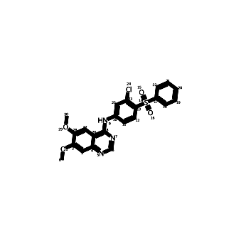 COc1cc2ncnc(Nc3ccc(S(=O)(=O)c4ccccc4)c(Cl)c3)c2cc1OC